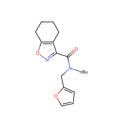 CCCCN(Cc1ccco1)C(=O)c1noc2c1CCCC2